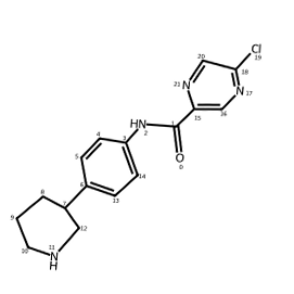 O=C(Nc1ccc(C2CCCNC2)cc1)c1cnc(Cl)cn1